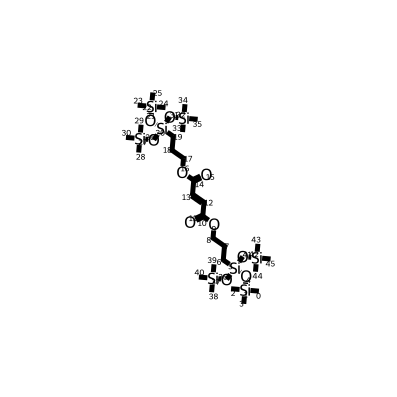 C[Si](C)(C)O[Si](CCCOC(=O)C=CC(=O)OCCC[Si](O[Si](C)(C)C)(O[Si](C)(C)C)O[Si](C)(C)C)(O[Si](C)(C)C)O[Si](C)(C)C